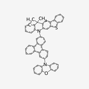 CC1(C)c2ccccc2N(c2ccc3c4ccc(N5c6ccccc6Oc6ccccc65)cc4c4ccccc4c3c2)c2cc3sc4ccccc4c3cc21